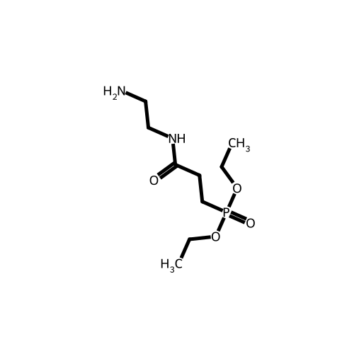 CCOP(=O)(CCC(=O)NCCN)OCC